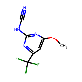 COc1cc(C(F)(F)F)nc(NC#N)n1